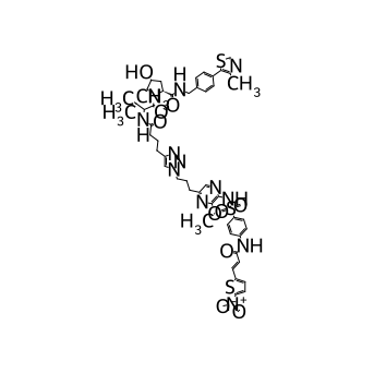 COc1nc(CCCn2cc(CCCC(=O)N[C@H](C(=O)N3C[C@H](O)C[C@H]3C(=O)NCc3ccc(-c4scnc4C)cc3)C(C)(C)C)nn2)cnc1NS(=O)(=O)c1ccc(NC(=O)/C=C/c2ccc([N+](=O)[O-])s2)cc1